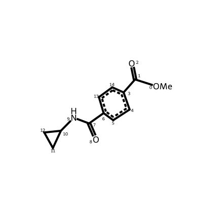 COC(=O)c1ccc(C(=O)NC2CC2)cc1